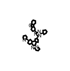 c1ccc(-c2nc(-c3ccc4oc5ccccc5c4c3)nc(-c3ccc4c(c3)c3cc(-c5ccccn5)ccc3c3nc5ccccn5c43)n2)cc1